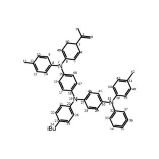 C=C(C)C1C=CC(N(c2ccc(C)cc2)c2ccc(N(c3ccc(C(C)CC)cc3)c3ccc(N(C4=CC=C=C=C4)c4ccc(C)cc4)cc3)cc2)=CC1